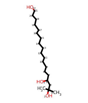 CC(C)(O)CC(O)CCCCCCCCCCCCCCCO